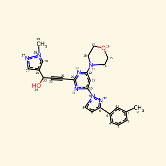 Cc1cccc(-c2ccn(-c3cc(N4CCOCC4)nc(C#CC(O)c4cnn(C)c4)n3)n2)c1